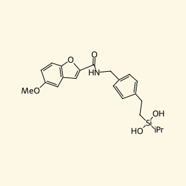 COc1ccc2oc(C(=O)NCc3ccc(CC[Si](O)(O)C(C)C)cc3)cc2c1